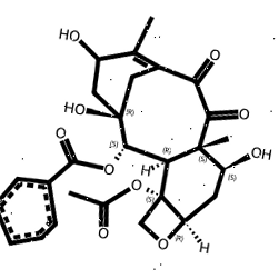 CC(=O)O[C@@]12CO[C@@H]1C[C@H](O)[C@@]1(C)C(=O)C(=O)C3=C(C)C(O)C[C@](O)(C3)[C@@H](OC(=O)c3ccccc3)[C@H]21